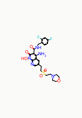 Nc1c(C(=O)NCc2ccc(F)cc2F)c(=O)n(O)c2ncc(CCS(=O)(=O)CCN3CCOCC3)cc12